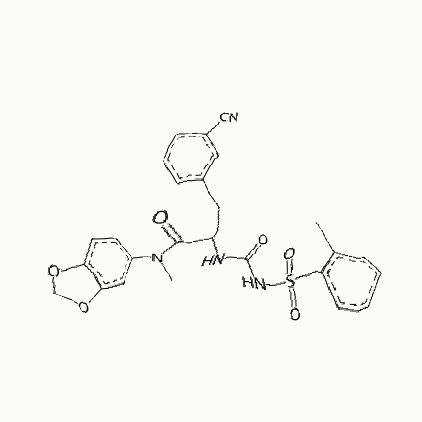 Cc1ccccc1S(=O)(=O)NC(=O)NC(Cc1cccc(C#N)c1)C(=O)N(C)c1ccc2c(c1)OCO2